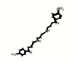 Nc1ccc(C(=O)CCCNCCCNCCCC(=O)c2ccc(N)cc2)cc1